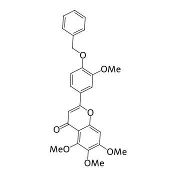 COc1cc(-c2cc(=O)c3c(OC)c(OC)c(OC)cc3o2)ccc1OCc1ccccc1